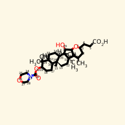 C[C@@H]1CC(CCC(=O)O)OC2C1[C@@]1(C)CC[C@@]34C[C@@]35CCC(OC(=O)N3CCOCC3)C(C)(C)[C@@H]5CC[C@H]4[C@]1(C)[C@H]2O